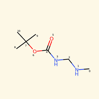 CNCNC(=O)OC(C)(C)C